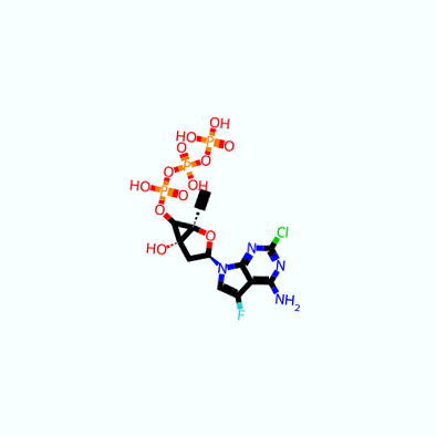 C#C[C@]12O[C@@H](n3cc(F)c4c(N)nc(Cl)nc43)C[C@@]1(O)C2OP(=O)(O)OP(=O)(O)OP(=O)(O)O